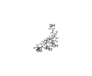 CC[C@H]1[C@@H](O)[C@@H]2[C@H](CC[C@]3(C)[C@@H]([C@H](C)/C=C/CO)CC[C@@H]23)[C@@]2(C)CCC(O[Si](C)(C)C(C)(C)C)C[C@@H]12